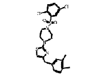 Cc1ccc(Cc2csc(N3CCN(S(=O)(=O)c4cc(Cl)ccc4Cl)CC3)n2)cc1C